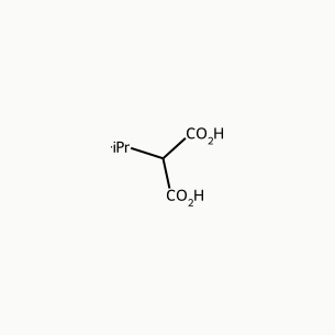 C[C](C)C(C(=O)O)C(=O)O